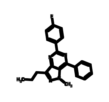 CCCc1nn(C)c2c(-c3ccccc3)nc(-c3ccc(F)cc3)nc12